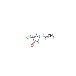 C=CC[C@H]1C=C(Cl)C(=O)C1